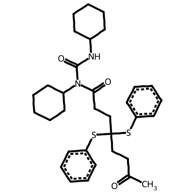 CC(=O)CCC(CCC(=O)N(C(=O)NC1CCCCC1)C1CCCCC1)(Sc1ccccc1)Sc1ccccc1